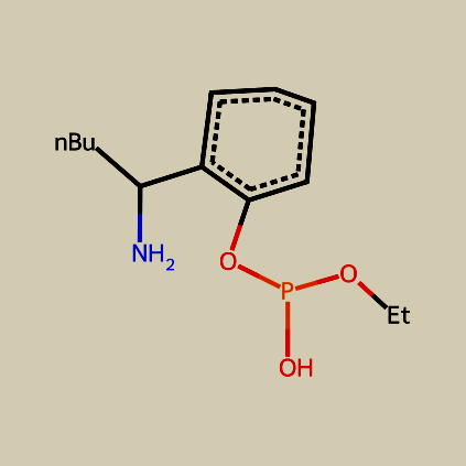 CCCCC(N)c1ccccc1OP(O)OCC